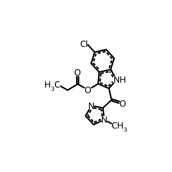 CCC(=O)Oc1c(C(=O)c2nccn2C)[nH]c2ccc(Cl)cc12